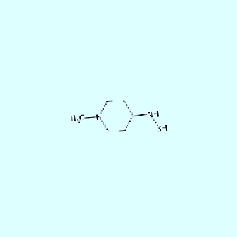 CN1CCC(NS)CC1